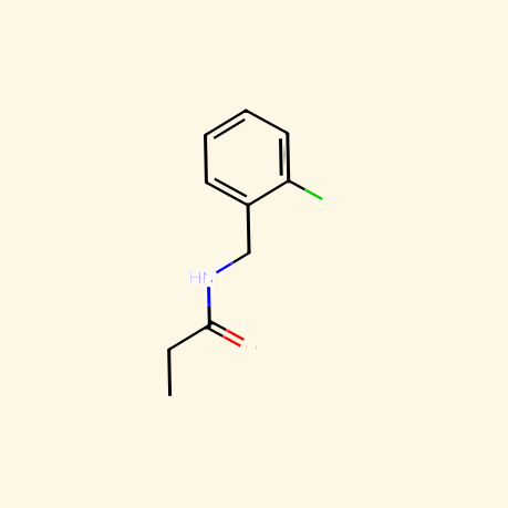 CCC(=O)NCc1ccccc1Cl